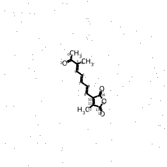 CC(=O)/C(C)=C/C=C/C=C/C1=C(C)C(=O)OC1=O